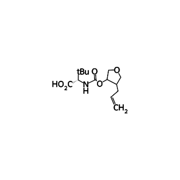 C=CCC1COCC1OC(=O)N[C@H](C(=O)O)C(C)(C)C